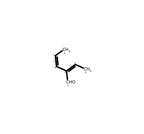 CC=C(C=O)/C=C\C